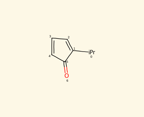 CC(C)C1=CC=CC1=O